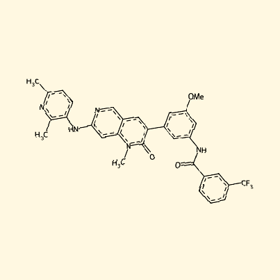 COc1cc(NC(=O)c2cccc(C(F)(F)F)c2)cc(-c2cc3cnc(Nc4ccc(C)nc4C)cc3n(C)c2=O)c1